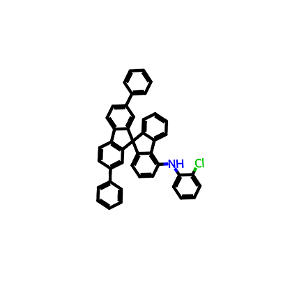 Clc1ccccc1Nc1cccc2c1-c1ccccc1C21c2cc(-c3ccccc3)ccc2-c2ccc(-c3ccccc3)cc21